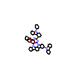 c1ccc(-c2cccc(-n3c4ccccc4c4ccc5c6cc(-n7c8ccccc8c8ccccc87)ccc6n(-c6nc(-c7ccccc7)nc(-c7cccc8c7c7ccccc7n8-c7ccccc7)n6)c5c43)c2)cc1